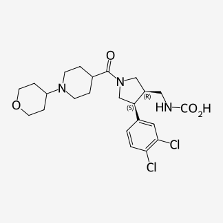 O=C(O)NC[C@@H]1CN(C(=O)C2CCN(C3CCOCC3)CC2)C[C@@H]1c1ccc(Cl)c(Cl)c1